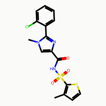 Cc1ccsc1S(=O)(=O)NC(=O)c1cn(C)c(-c2ccccc2Cl)n1